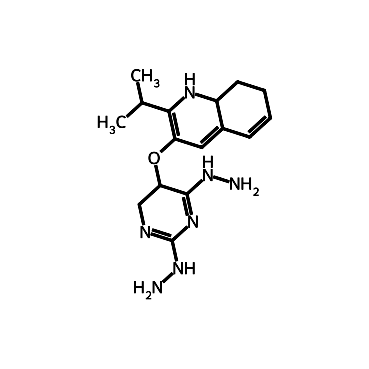 CC(C)C1=C(OC2CN=C(NN)N=C2NN)C=C2C=CCCC2N1